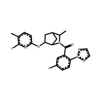 Cc1ccc(OC2CC3CC2N(C(=O)c2cc(F)ccc2-n2nccn2)C3C)nc1F